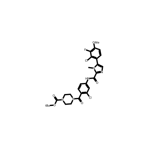 COc1ccc(-c2cnc(C(=O)Nc3ccc(C(=O)N4CCN(C(=O)OC(C)(C)C)CC4)c(Cl)c3)n2C)c(Cl)c1F